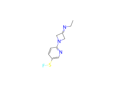 CCN=C1CN(c2ccc(SF)cn2)C1